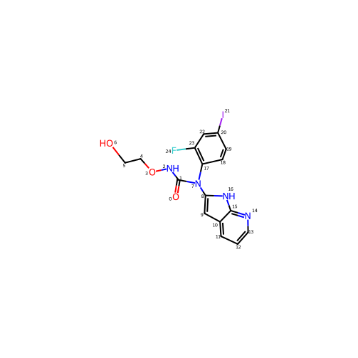 O=C(NOCCO)N(c1cc2cccnc2[nH]1)c1ccc(I)cc1F